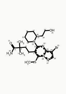 CSc1c(CCC(C)(C)C(N)=O)c(N2CCCC[C@H]2CCO)nc2c(Br)cnn12